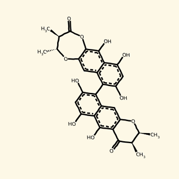 C[C@@H]1Oc2cc3c(-c4c(O)cc(O)c5c(O)c6c(cc45)O[C@H](C)[C@@H](C)C(=O)O6)c(O)cc(O)c3c(O)c2C(=O)[C@@H]1C